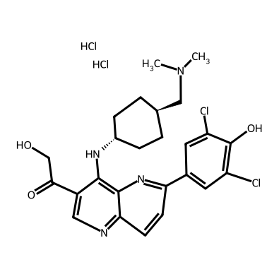 CN(C)C[C@H]1CC[C@H](Nc2c(C(=O)CO)cnc3ccc(-c4cc(Cl)c(O)c(Cl)c4)nc23)CC1.Cl.Cl